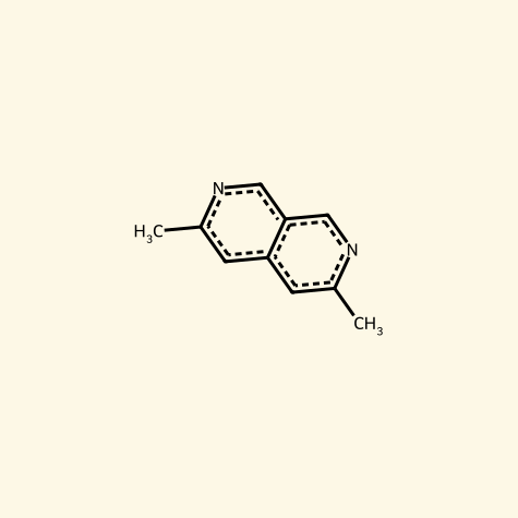 Cc1cc2cc(C)ncc2cn1